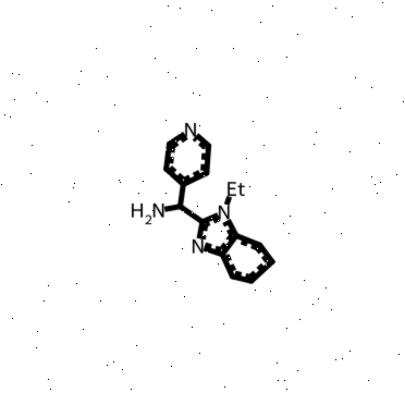 CCn1c(C(N)c2ccncc2)nc2ccccc21